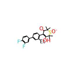 CCc1cc(-c2ccc(F)c(F)c2)ccc1C1=C(O)C(C)(C)[S+]([O-])C(C)(C)C1=O